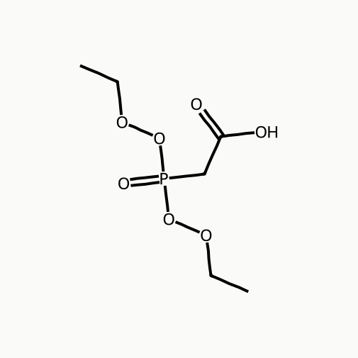 CCOOP(=O)(CC(=O)O)OOCC